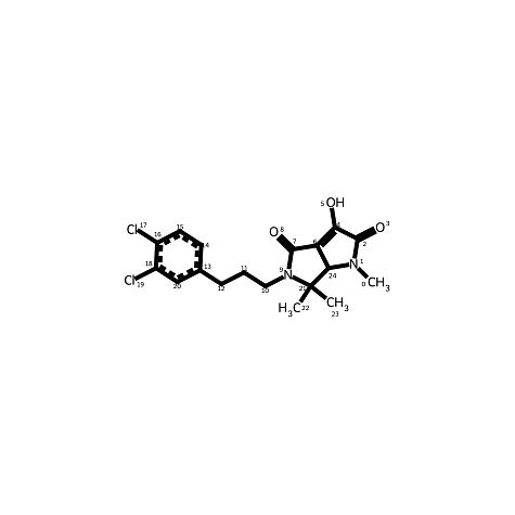 CN1C(=O)C(O)=C2C(=O)N(CCCc3ccc(Cl)c(Cl)c3)C(C)(C)C21